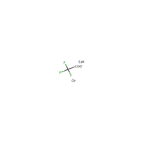 O=C([O-])C(F)(F)F.[Cs+].[CsH]